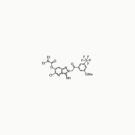 CCN(CC)C(=O)Oc1cc2nn(CC(=O)c3cc(OC)cc(S(F)(F)(F)(F)F)c3)c(=N)n2nc1Cl